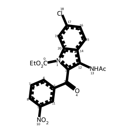 CCOC(=O)n1c(C(=O)c2cccc([N+](=O)[O-])c2)c(NC(C)=O)c2ccc(Cl)cc21